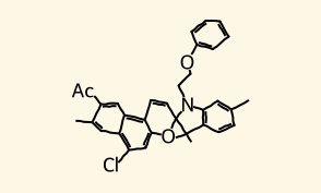 CC(=O)c1cc2c3c(cc(Cl)c2cc1C)OC1(C=C3)N(CCOc2ccccc2)c2cc(C)ccc2C1(C)C